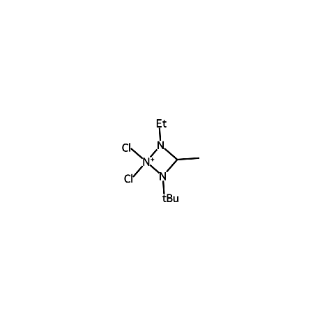 CCN1C(C)N(C(C)(C)C)[N+]1(Cl)Cl